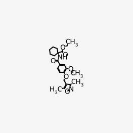 CCOC(=O)C1(NC(=O)c2ccc(OCc3c(C)noc3C)c(OC)c2)CCCCC1